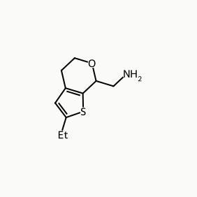 CCc1cc2c(s1)C(CN)OCC2